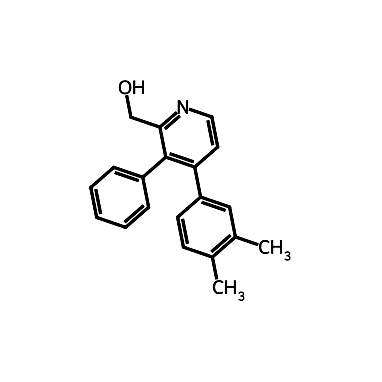 Cc1ccc(-c2ccnc(CO)c2-c2ccccc2)cc1C